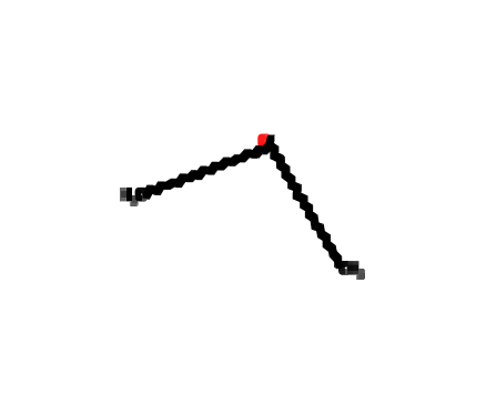 CCCCCCCCCCCCCCCCCCCCCC=CCCC1(CC=CCCCCCCCCCCCCCCCCCCCCC)CO1